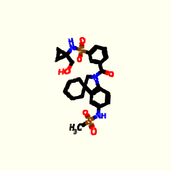 CS(=O)(=O)Nc1ccc2c(c1)C1(CCCCC1)CN2C(=O)c1cccc(S(=O)(=O)NC2(CO)CC2)c1